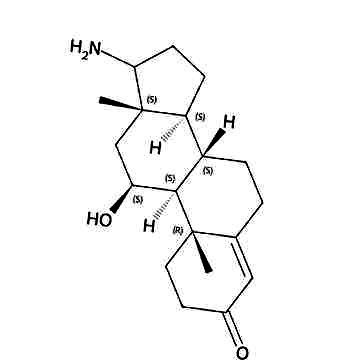 C[C@]12CCC(=O)C=C1CC[C@@H]1[C@@H]2[C@@H](O)C[C@]2(C)C(N)CC[C@@H]12